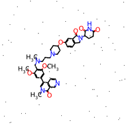 COc1cc(-c2cn(C)c(=O)c3cnccc23)cc(OC)c1CN(C)CCCN1CCC(Oc2ccc3c(c2)C(=O)N(C2CCC(=O)NC2=O)C3)CC1